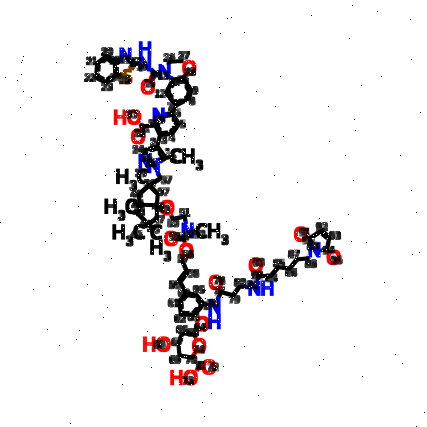 Cc1c(-c2ccc(-c3ccc4c(c3)N(C(=O)Nc3nc5ccccc5s3)CCO4)nc2C(=O)O)cnn1CC1(C)CC2(C)CC(C)(C)CC2(OCCN(C)C(=O)OC/C=C/c2ccc(O[C@H]3C[C@@H](O)C[C@@H](C(=O)O)O3)c(NC(=O)CCNC(=O)CCCCCN3C(=O)C=CC3=O)c2)C1